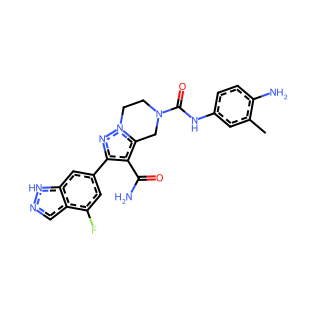 Cc1cc(NC(=O)N2CCn3nc(-c4cc(F)c5cn[nH]c5c4)c(C(N)=O)c3C2)ccc1N